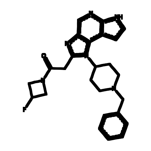 O=C(Cc1nc2cnc3[nH]ccc3c2n1C1CCN(Cc2ccccc2)CC1)N1CC(F)C1